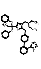 CCC(CC)Cn1nc(C(CC)(Oc2ccccc2)Oc2ccccc2)nc1Cc1ccc(-c2ccccc2-c2nnn[nH]2)cc1